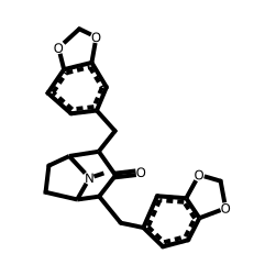 CN1C2CCC1C(Cc1ccc3c(c1)OCO3)C(=O)C2Cc1ccc2c(c1)OCO2